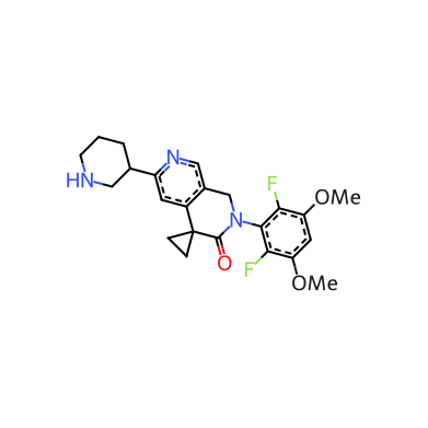 COc1cc(OC)c(F)c(N2Cc3cnc(C4CCCNC4)cc3C3(CC3)C2=O)c1F